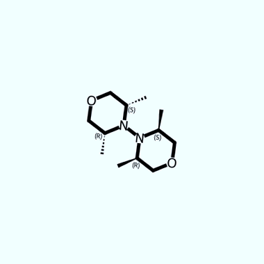 C[C@@H]1COC[C@H](C)N1N1[C@H](C)COC[C@@H]1C